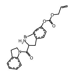 C=CCOC(=O)Oc1ccc(CC(N)C(=O)N2CCc3ccccc32)c(Br)c1